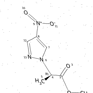 COC(=O)[C@@H](C)n1cc([N+](=O)[O-])cn1